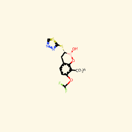 O=C(O)c1c(OC(F)F)ccc2c1OB(O)[C@@H](Sc1nncs1)C2